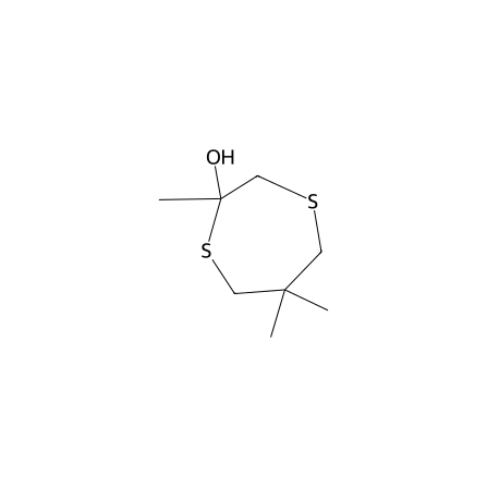 CC1(C)CSCC(C)(O)SC1